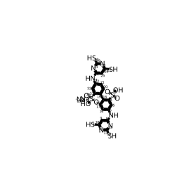 O=S(=O)(O)c1cc(Nc2cc(S)nc(S)n2)ccc1-c1ccc(Nc2cc(S)nc(S)n2)cc1S(=O)(=O)O.[Na].[Na]